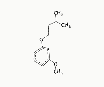 COc1cccc(OCCC(C)C)c1